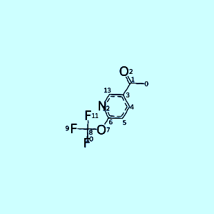 CC(=O)c1ccc(OC(F)(F)F)nc1